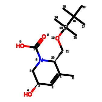 CC1=C[C@H](O)CN(C(=O)O)[C@@H]1CO[Si](C)(C)C(C)(C)C